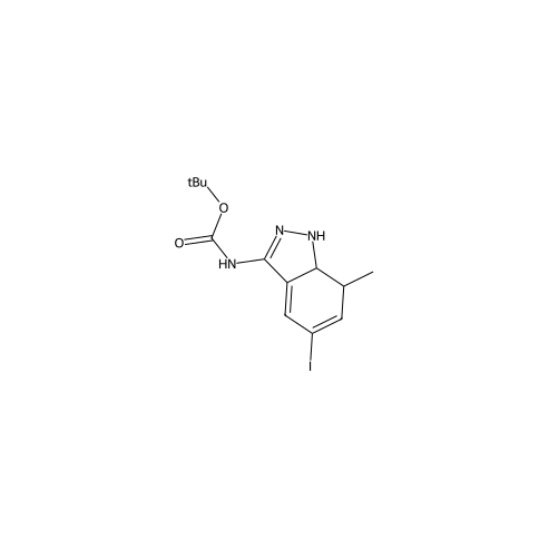 CC1C=C(I)C=C2C(NC(=O)OC(C)(C)C)=NNC21